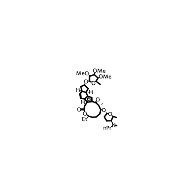 CCCN(C)[C@H]1CC[C@H](O[C@H]2CCC[C@H](CC)OC(=O)C[C@@H]3C(=C[C@@H]4[C@H]3C=C[C@@H]3C[C@@H](O[C@@H]5OC(C)[C@H](OC)C(OC)C5OC)C[C@@H]43)C(=O)[C@@H]2C)OC1C